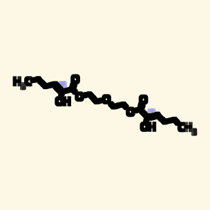 CCC/C=C(\O)C(=O)OCCOCCOC(=O)/C(O)=C/CCC